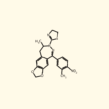 Cc1cc(C2=NN(C3=NCCS3)C(C)Cc3cc4c(cc32)OCO4)ccc1[N+](=O)[O-]